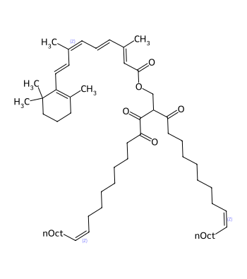 CCCCCCCC/C=C\CCCCCCCC(=O)C(=O)C(COC(=O)C=C(C)C=C/C=C(/C)C=CC1=C(C)CCCC1(C)C)C(=O)CCCCCCC/C=C\CCCCCCCC